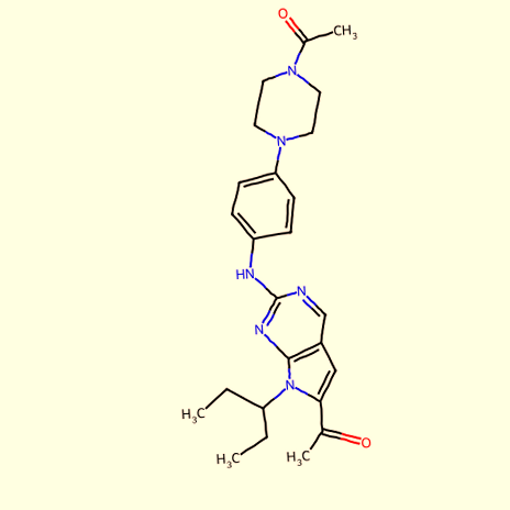 CCC(CC)n1c(C(C)=O)cc2cnc(Nc3ccc(N4CCN(C(C)=O)CC4)cc3)nc21